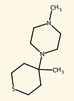 CN1CCN(C2(C)CCSCC2)CC1